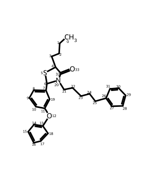 CCCCC1SC(c2cccc(Oc3ccccc3)c2)N(CCCCCc2ccccc2)C1=O